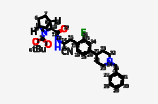 CC(C)(C)OC(=O)N1[C@@H]2CC[C@@H](C2)[C@H]1C(=O)N[C@H](C#N)Cc1ccc(C2CCN(Cc3ccccc3)CC2)cc1F